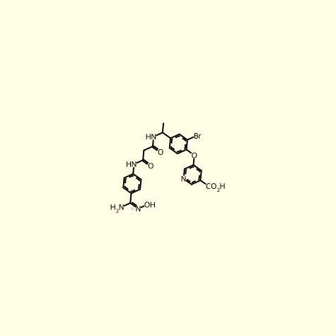 CC(NC(=O)CC(=O)Nc1ccc(/C(N)=N\O)cc1)c1ccc(Oc2cncc(C(=O)O)c2)c(Br)c1